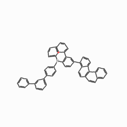 c1ccc(-c2cccc(-c3ccc(N(c4ccccc4)c4ccc(-c5cccc6c5ccc5ccc7ccccc7c56)cc4-c4ccccc4)cc3)c2)cc1